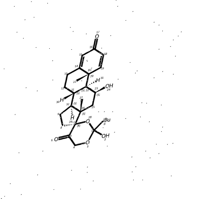 CCC(C)C1(O)OCC(=O)[C@]2(CC[C@H]3[C@@H]4CCC5=CC(=O)C=C[C@]5(C)[C@H]4[C@@H](O)C[C@@]32C)O1